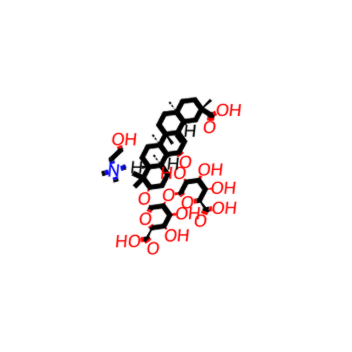 CC1(C)[C@@H](O[C@H]2O[C@H](C(=O)O)[C@@H](O)[C@H](O)[C@H]2O[C@@H]2O[C@H](C(=O)O)[C@@H](O)[C@H](O)[C@H]2O)CC[C@]2(C)[C@H]3C(=O)C=C4[C@@H]5C[C@@](C)(C(=O)O)CC[C@]5(C)CC[C@@]4(C)[C@]3(C)CC[C@@H]12.C[N+](C)(C)CCO